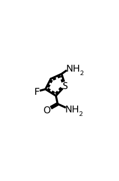 NC(=O)c1sc(N)cc1F